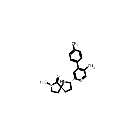 Cc1cnc([C@@H]2CC[C@]3(CCN(C)C3=O)N2)cc1-c1ccc(C(F)(F)F)cc1